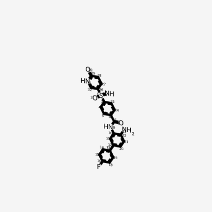 N=S(=O)(c1ccc(C(=O)Nc2cc(-c3ccc(F)cc3)ccc2N)cc1)c1ccc(=O)[nH]c1